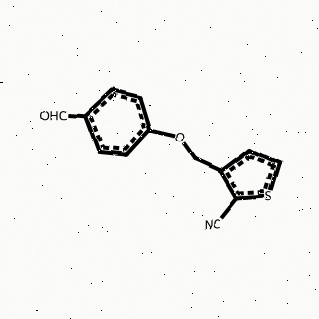 N#Cc1sccc1COc1ccc(C=O)cc1